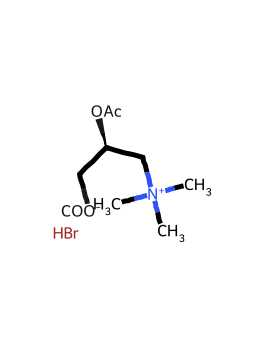 Br.CC(=O)O[C@H](CC(=O)[O-])C[N+](C)(C)C